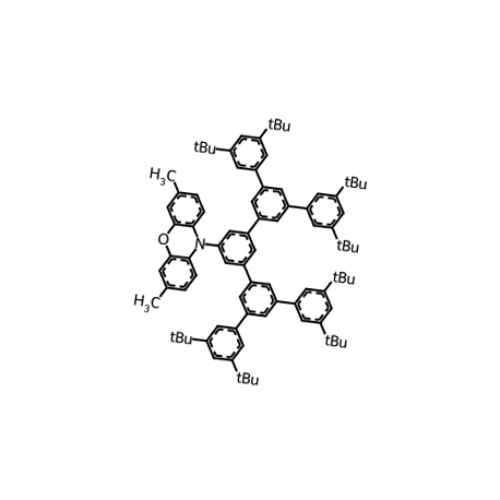 Cc1ccc2c(c1)Oc1cc(C)ccc1N2c1cc(-c2cc(-c3cc(C(C)(C)C)cc(C(C)(C)C)c3)cc(-c3cc(C(C)(C)C)cc(C(C)(C)C)c3)c2)cc(-c2cc(-c3cc(C(C)(C)C)cc(C(C)(C)C)c3)cc(-c3cc(C(C)(C)C)cc(C(C)(C)C)c3)c2)c1